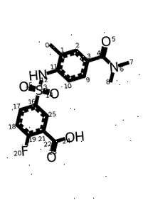 Cc1cc(C(=O)N(C)C)ccc1NS(=O)(=O)c1ccc(F)c(C(=O)O)c1